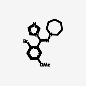 COc1ccc(Br)c(C(=NN2CCCCCC2)n2ccnc2)c1